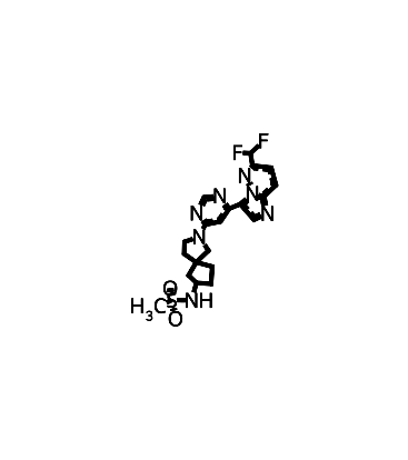 CS(=O)(=O)NC1CCC2(CCN(c3cc(-c4cnc5ccc(C(F)F)nn45)ncn3)C2)C1